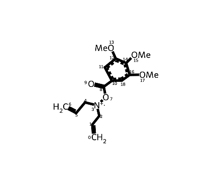 C=CC[N+](CC=C)OC(=O)c1cc(OC)c(OC)c(OC)c1